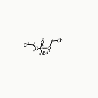 CCCCP(=O)(OCCl)OCCl